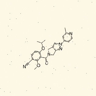 COc1c(C#N)ccc(OC(C)C)c1C(=O)N1Cc2cn(-c3ccnc(C)c3)nc2C1